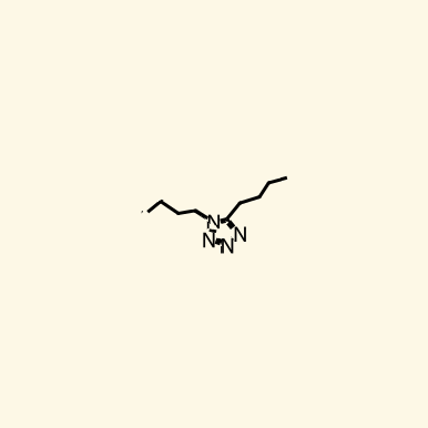 [CH2]CCCn1nnnc1CCCC